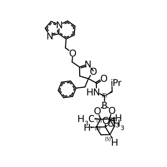 CC(C)C[C@H](NC(=O)C1(Cc2ccccc2)CC(COCc2cccn3ccnc23)=NO1)B1O[C@@H]2C[C@@H]3C[C@@H](C3(C)C)[C@]2(C)O1